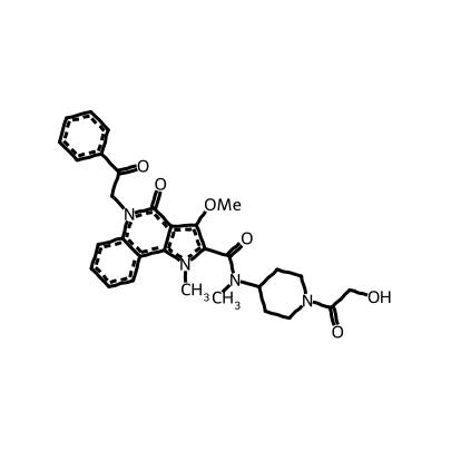 COc1c(C(=O)N(C)C2CCN(C(=O)CO)CC2)n(C)c2c1c(=O)n(CC(=O)c1ccccc1)c1ccccc21